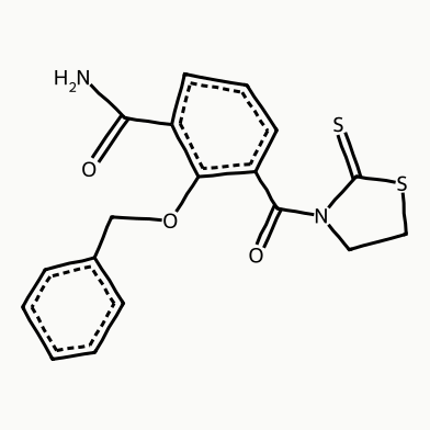 NC(=O)c1cccc(C(=O)N2CCSC2=S)c1OCc1ccccc1